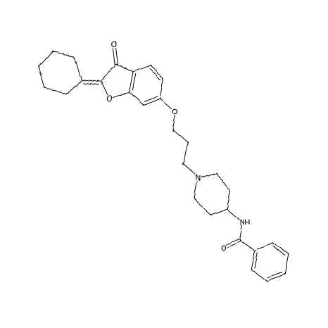 O=C(NC1CCN(CCCOc2ccc3c(c2)OC(=C2CCCCC2)C3=O)CC1)c1ccccc1